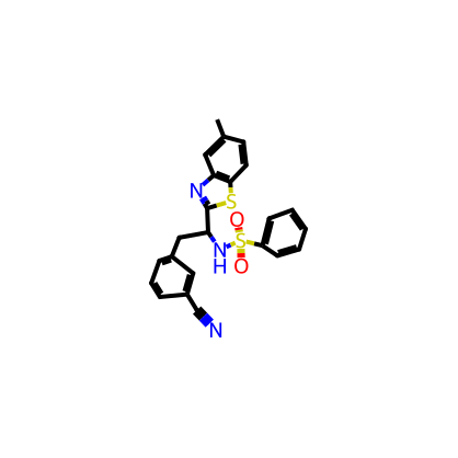 Cc1ccc2sc(C(Cc3cccc(C#N)c3)NS(=O)(=O)c3ccccc3)nc2c1